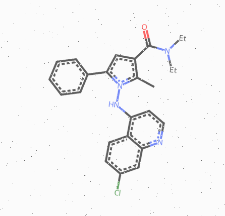 CCN(CC)C(=O)c1cc(-c2ccccc2)n(Nc2ccnc3cc(Cl)ccc23)c1C